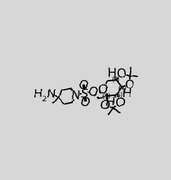 CC1(N)CCN(S(=O)(=O)OC[C@@]23OC[C@H]4OC(C)(C)O[C@H]4[C@@H]2OC(C)(C)O3)CC1